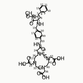 CONC(=O)C(CCc1ccccc1)NCc1ccc(CNC(=O)CN2CCN(CC(=O)O)CCN(CC(=O)O)CCN(CC(=O)O)CC2)cc1